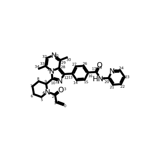 C=CC(=O)N1CCCCC1c1nc(-c2ccc(C(=O)Nc3ccccn3)cc2)c2c(C)ncc(C)n12